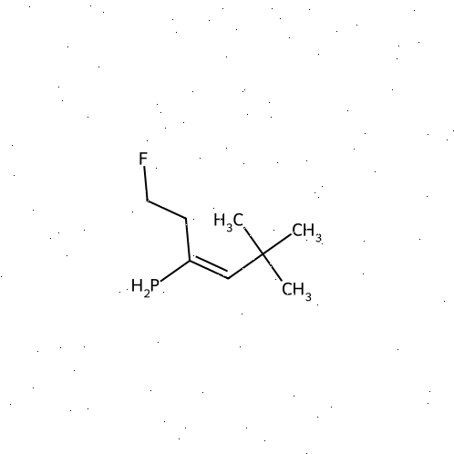 CC(C)(C)/C=C(/P)CCF